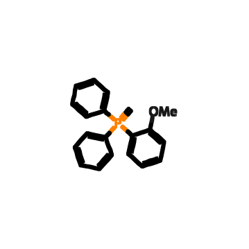 C=P(c1ccccc1)(c1ccccc1)c1ccccc1OC